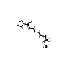 CC(C)(C)OC(=O)N[CH]CCCCC(=O)N1CCCC1